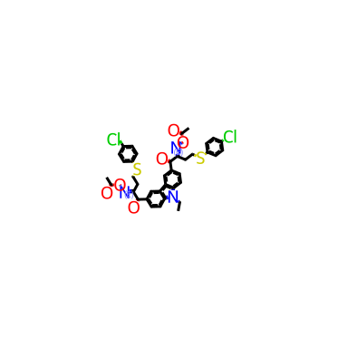 CCn1c2ccc(C(=O)/C(CCSc3ccc(Cl)cc3)=N/OC(C)=O)cc2c2cc(C(=O)/C(CCSc3ccc(Cl)cc3)=N/OC(C)=O)ccc21